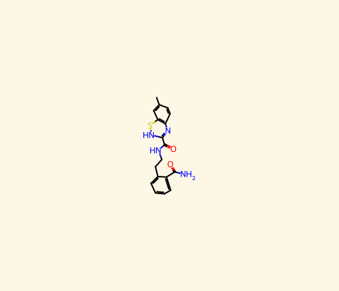 Cc1ccc2c(c1)SNC(C(=O)NCCc1ccccc1C(N)=O)=N2